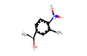 Cc1cc([C@H](C)O)ccc1[N+](=O)[O-]